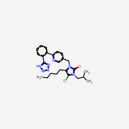 CCCCCc1c(Cl)n(CC(C)C)c(=O)n1Cc1ccc(-c2ccccc2-c2nnn[nH]2)nc1